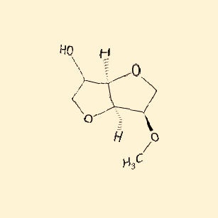 CO[C@@H]1CO[C@@H]2C(O)CO[C@@H]21